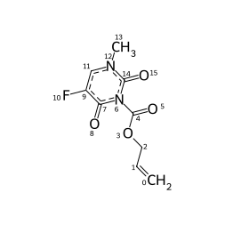 C=CCOC(=O)n1c(=O)c(F)cn(C)c1=O